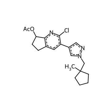 CC(=O)OC1CCc2cc(-c3cnn(CC4(C)CCCC4)c3)c(Cl)nc21